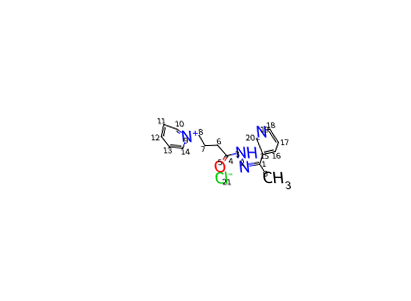 CC(=NNC(=O)CCC[n+]1ccccc1)c1cccnc1.[Cl-]